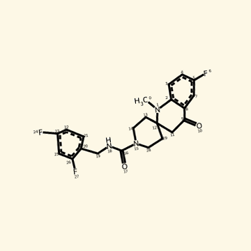 CN1c2ccc(F)cc2C(=O)CC12CCN(C(=O)NCc1ccc(F)cc1F)CC2